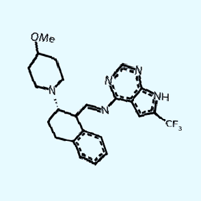 COC1CCN([C@H]2CCc3ccccc3C2/C=N/c2ncnc3[nH]c(C(F)(F)F)cc23)CC1